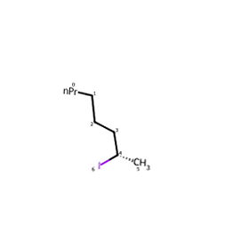 CCCCCC[C@H](C)I